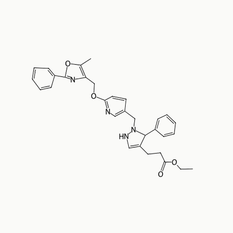 CCOC(=O)CCC1=CNN(Cc2ccc(OCc3nc(-c4ccccc4)oc3C)nc2)C1c1ccccc1